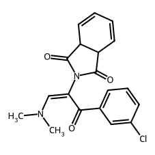 CN(C)/C=C(\C(=O)c1cccc(Cl)c1)N1C(=O)C2C=CC=CC2C1=O